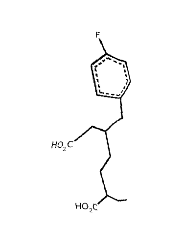 CC(CCC(CC(=O)O)Cc1ccc(F)cc1)C(=O)O